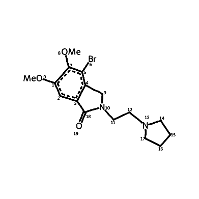 COc1cc2c(c(Br)c1OC)CN(CCN1CCCC1)C2=O